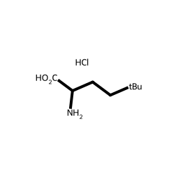 CC(C)(C)CCC(N)C(=O)O.Cl